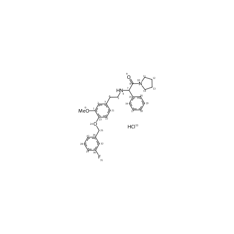 COc1cc(CCNC(C(=O)N2CCCC2)c2ccccc2)ccc1OCc1cccc(F)c1.Cl